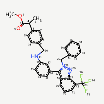 COC(=O)C(C)c1ccc(CNc2cccc(-c3c4cccc(C(F)(F)F)c4nn3Cc3ccccc3)c2)cc1